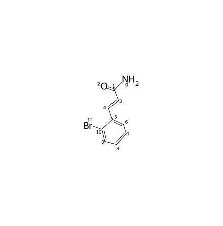 NC(=O)C=Cc1ccccc1Br